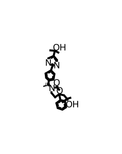 C[C@@H](c1ccc(-c2ncc(C(C)(C)O)cn2)cc1)N1CCC(CC(C)(C)O)(c2ccccc2)OC1=O